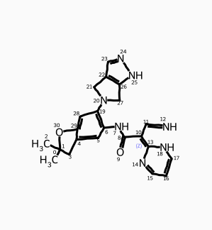 CC1(C)Cc2cc(NC(=O)/C(C=N)=C3\N=CC=CN3)c(N3Cc4cn[nH]c4C3)cc2O1